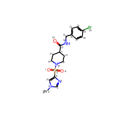 CC(C)n1cnc(S(=O)(=O)N2CCC(C(=O)NCc3ccc(Br)cc3)CC2)c1